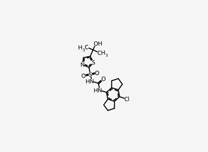 CC(C)(O)c1cnc(S(=O)(=O)NC(=O)Nc2c3c(c(Cl)c4c2CCC4)CCC3)s1